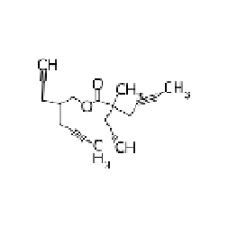 C#CCC(CC#CC)COC(=O)C(C)(CC#C)CC#CC